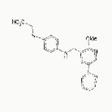 COc1ncc(-c2ccccc2)cc1CNc1ccc(SCC(=O)O)cc1